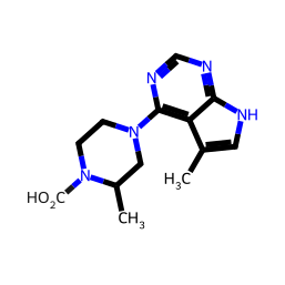 Cc1c[nH]c2ncnc(N3CCN(C(=O)O)C(C)C3)c12